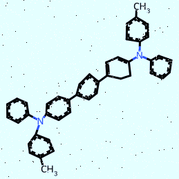 Cc1ccc(N(C2=CC=C(c3ccc(-c4ccc(N(c5ccccc5)c5ccc(C)cc5)cc4)cc3)CC2)c2ccccc2)cc1